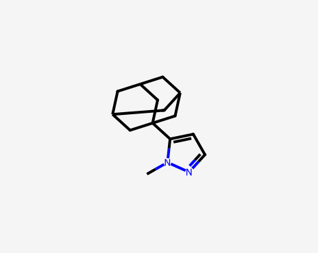 Cn1nccc1C12CC3CC(CC(C3)C1)C2